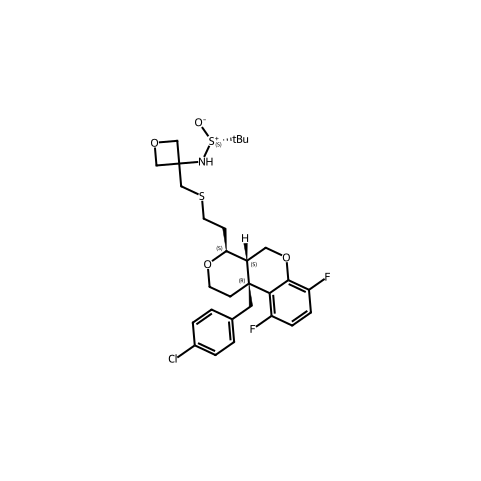 CC(C)(C)[S@@+]([O-])NC1(CSCC[C@@H]2OCC[C@@]3(Cc4ccc(Cl)cc4)c4c(F)ccc(F)c4OC[C@@H]23)COC1